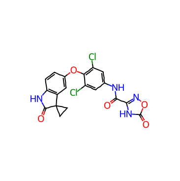 O=C(Nc1cc(Cl)c(Oc2ccc3c(c2)C2(CC2)C(=O)N3)c(Cl)c1)c1noc(=O)[nH]1